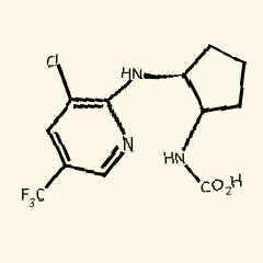 O=C(O)NC1CCC[C@@H]1Nc1ncc(C(F)(F)F)cc1Cl